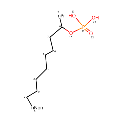 CCCCCCCCCCCCCCCCC(CCC)OP(=O)(O)O